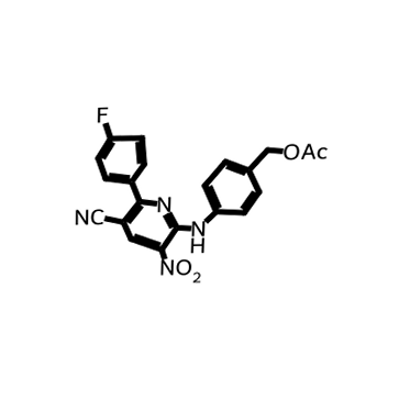 CC(=O)OCc1ccc(Nc2nc(-c3ccc(F)cc3)c(C#N)cc2[N+](=O)[O-])cc1